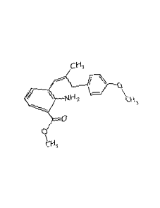 COC(=O)c1cccc(C=C(C)Cc2ccc(OC)cc2)c1N